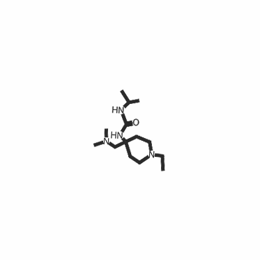 CCN1CCC(CN(C)C)(NC(=O)NC(C)C)CC1